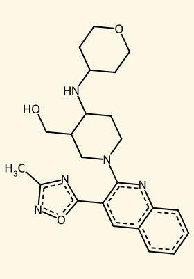 Cc1noc(-c2cc3ccccc3nc2N2CCC(NC3CCOCC3)C(CO)C2)n1